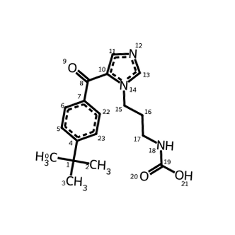 CC(C)(C)c1ccc(C(=O)c2cncn2CCCNC(=O)O)cc1